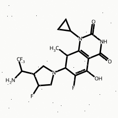 CC1c2c(c(=O)[nH]c(=O)n2C2CC2)C(O)=C(F)C1N1CC(F)C(C(N)C(F)(F)F)C1